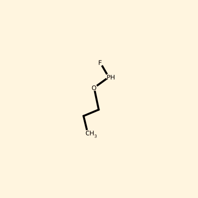 CCCOPF